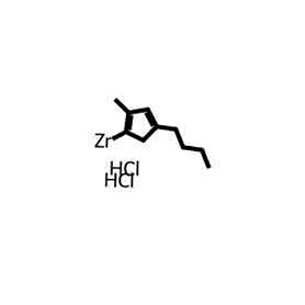 CCCCC1=CC(C)=[C]([Zr])C1.Cl.Cl